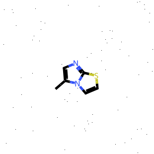 Cc1cnc2sccn12